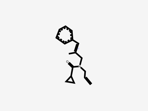 C=CCN(C/C(C)=C/c1ccccc1)C(=O)C1CC1